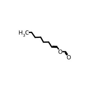 CCCCCCC=COC=O